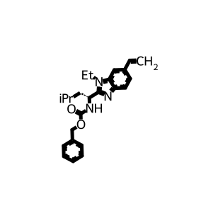 C=Cc1ccc2nc([C@@H](CC(C)C)NC(=O)OCc3ccccc3)n(CC)c2c1